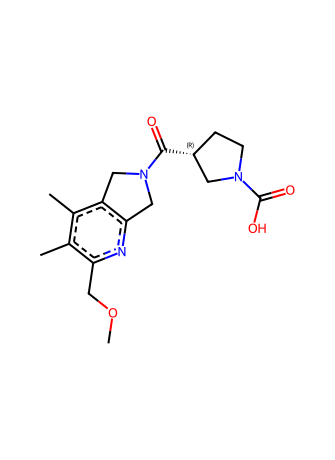 COCc1nc2c(c(C)c1C)CN(C(=O)[C@@H]1CCN(C(=O)O)C1)C2